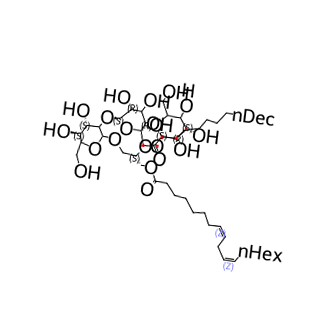 CCCCCC/C=C\C/C=C\CCCCCCC(=O)OC[C@H](COC1OC(CO)[C@@H](O)[C@H](O)C1O[C@@H]1OC(CO[C@H]2OC(CO)C(O)[C@H](O)[C@H]2O)[C@H](O)C(O)[C@H]1O)OC(=O)CCCCCCCCCCCCCCCCC